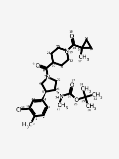 Cc1ccc([C@H]2CN(C(=O)C3CCN(C(=O)C4(C)CC4)CC3)C[C@@H]2N(C)C(=O)OC(C)(C)C)cc1Cl